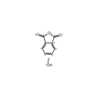 CO.O=C1OC(=O)c2ccccc21